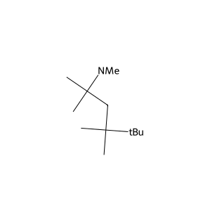 CNC(C)(C)CC(C)(C)C(C)(C)C